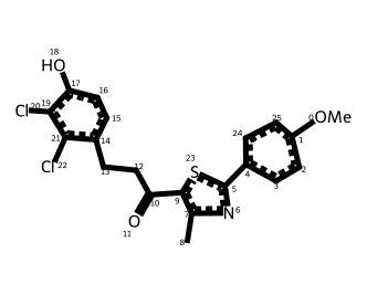 COc1ccc(-c2nc(C)c(C(=O)CCc3ccc(O)c(Cl)c3Cl)s2)cc1